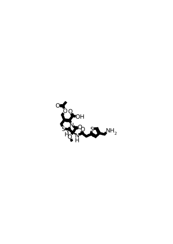 CO[C@@]1(NC(=O)Cc2cc(CN)cs2)C(=O)N2C(C(=O)O)=C(COC(C)=O)CS[C@@H]21